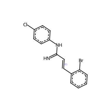 N=C(/C=C/c1ccccc1Br)Nc1ccc(Cl)cc1